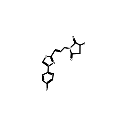 O=C1CC(I)C(=O)N1CC=Cc1nc(-c2ccc(F)cc2)cs1